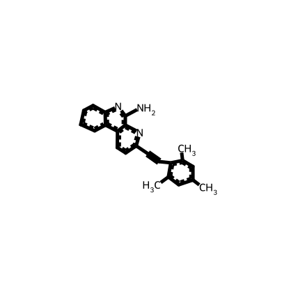 Cc1cc(C)c(C#Cc2ccc3c(n2)c(N)nc2ccccc23)c(C)c1